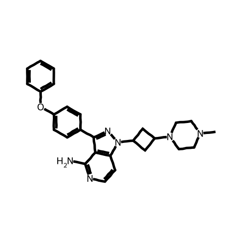 CN1CCN(C2CC(n3nc(-c4ccc(Oc5ccccc5)cc4)c4c(N)nccc43)C2)CC1